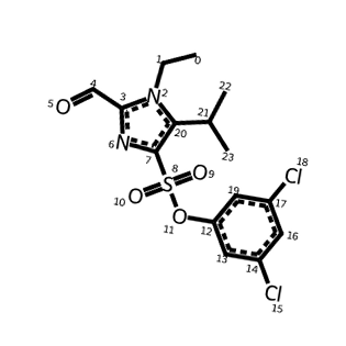 CCn1c(C=O)nc(S(=O)(=O)Oc2cc(Cl)cc(Cl)c2)c1C(C)C